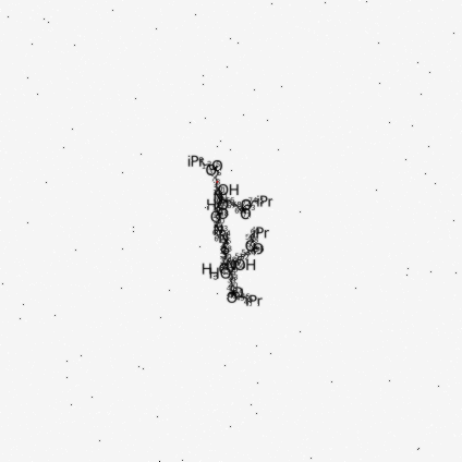 CC(C)CCOC(=O)CCCCC(O)CN(CCCC(=O)OCCN1CCN(CCSSCCC(C)N(CC(O)CCCCC(=O)OCCC(C)C)CC(O)CCCCC(=O)OCCC(C)C)CC1)CC(O)CCCCC(=O)OCCC(C)C